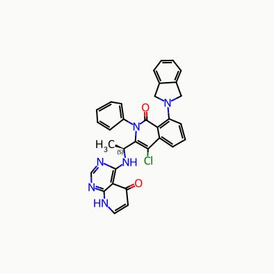 C[C@H](Nc1ncnc2[nH]ccc(=O)c12)c1c(Cl)c2cccc(N3Cc4ccccc4C3)c2c(=O)n1-c1ccccc1